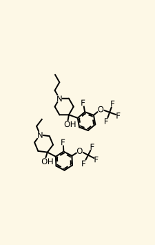 CCCN1CCC(O)(c2cccc(OC(F)(F)F)c2F)CC1.CCN1CCC(O)(c2cccc(OC(F)(F)F)c2F)CC1